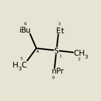 CCCS(C)(CC)C(C)C(C)CC